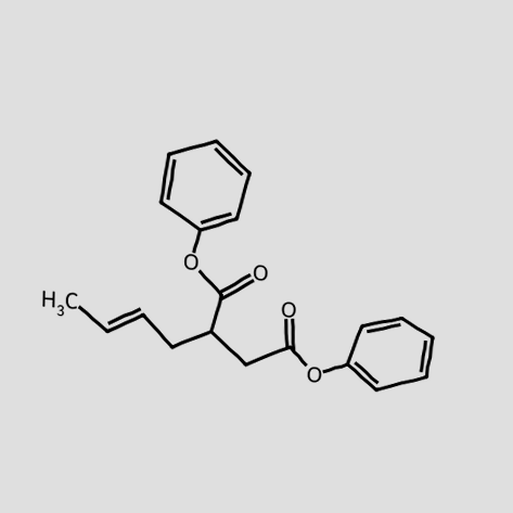 CC=CCC(CC(=O)Oc1ccccc1)C(=O)Oc1ccccc1